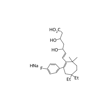 CCC1(CC)CCC(C)(C)C(C=CC(O)CC(O)CC(=O)O)=C(c2ccc(F)cc2)C1.[NaH]